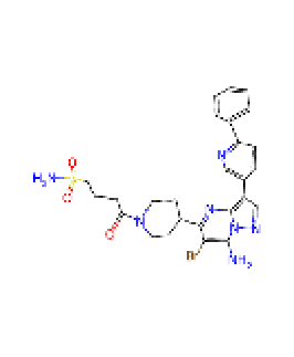 Nc1c(Br)c(C2CCN(C(=O)CCCS(N)(=O)=O)CC2)nc2c(-c3ccc(-c4ccccc4)nc3)cnn12